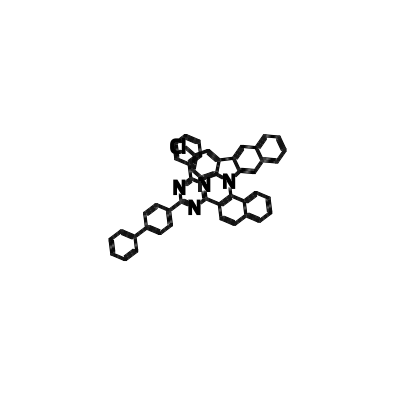 Clc1ccc2c(c1)c1cc3ccccc3cc1n2-c1c(-c2nc(-c3ccccc3)nc(-c3ccc(-c4ccccc4)cc3)n2)ccc2ccccc12